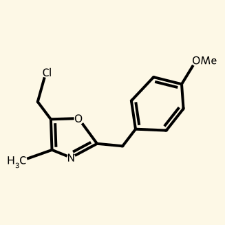 COc1ccc(Cc2nc(C)c(CCl)o2)cc1